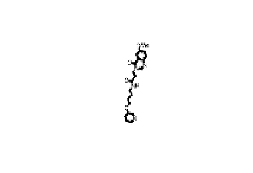 COc1ccc2ncn(/C=C/C(=O)NCCCCOc3cccnc3)c(=O)c2c1